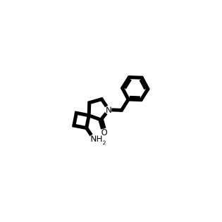 NC1CCC12CCN(Cc1ccccc1)C2=O